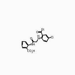 CCC(=O)c1cc(Cl)ccc1NCC(=O)Nc1ccccc1C(=O)O